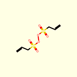 C=CCS(=O)(=O)OOS(=O)(=O)CC=C